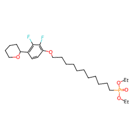 CCOP(=O)(CCCCCCCCCCCOc1ccc(C2CCCCO2)c(F)c1F)OCC